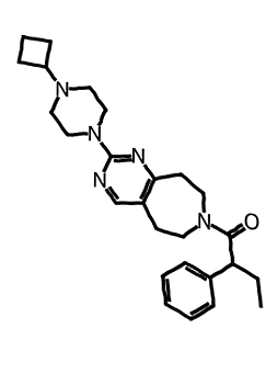 CCC(C(=O)N1CCc2cnc(N3CCN(C4CCC4)CC3)nc2CC1)c1ccccc1